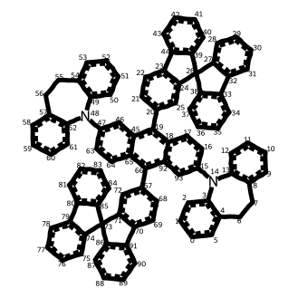 c1ccc2c(c1)CCc1ccccc1N2c1ccc2c(-c3ccc4c(c3)C3(c5ccccc5-c5ccccc53)c3ccccc3-4)c3cc(N4c5ccccc5CCc5ccccc54)ccc3c(-c3ccc4c(c3)C3(c5ccccc5-c5ccccc53)c3ccccc3-4)c2c1